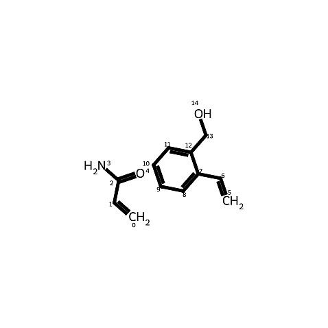 C=CC(N)=O.C=Cc1ccccc1CO